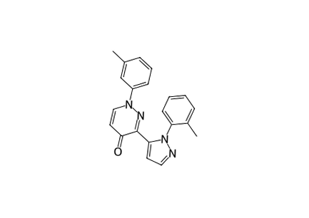 Cc1cccc(-n2ccc(=O)c(-c3ccnn3-c3ccccc3C)n2)c1